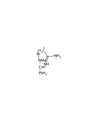 CC(=N)N.CNBr.[CsH].[PbH2]